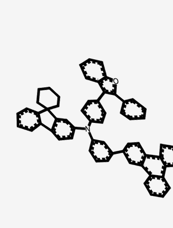 c1ccc(-c2oc3ccccc3c2-c2ccc(N(c3cccc(-c4ccc5c6ccccc6c6ccccc6c5c4)c3)c3ccc4c(c3)C3(CCCCC3)c3ccccc3-4)cc2)cc1